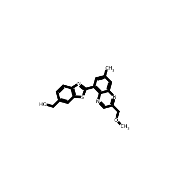 COCc1cnc2c(-c3nc4ccc(CO)cc4s3)cc(C)cc2n1